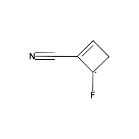 N#CC1=CC[C]1F